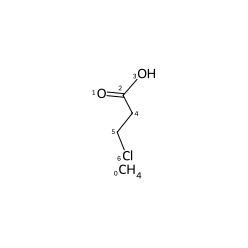 C.O=C(O)CCCl